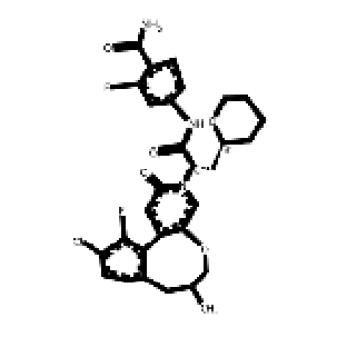 CC1COc2cn([C@@H](C[C@@H]3CCCCO3)C(=O)Nc3ccc(C(N)=O)c(F)c3)c(=O)cc2-c2c(ccc(Cl)c2F)C1